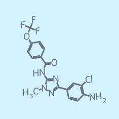 Cn1nc(-c2ccc(N)c(Cl)c2)nc1NC(=O)c1ccc(OC(F)(F)F)cc1